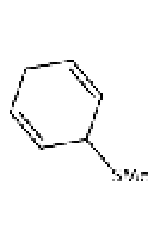 CSC1C=CCC=C1